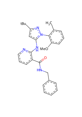 COc1cccc(C)c1-n1nc(C(C)(C)C)cc1Nc1ncccc1C(=O)NCc1ccccc1